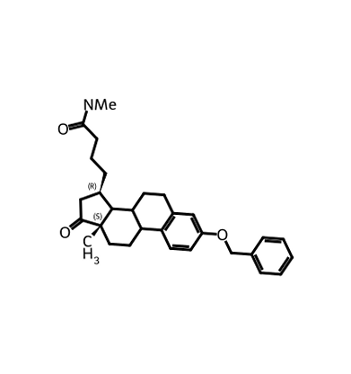 CNC(=O)CCC[C@@H]1CC(=O)[C@@]2(C)CCC3c4ccc(OCc5ccccc5)cc4CCC3C12